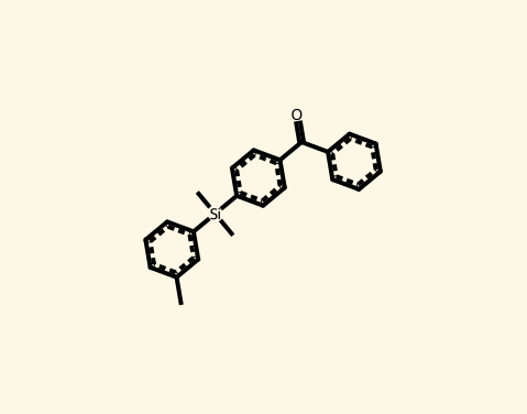 Cc1cccc([Si](C)(C)c2ccc(C(=O)c3ccccc3)cc2)c1